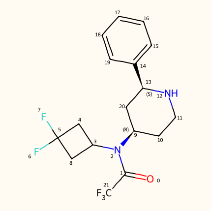 O=C(N(C1CC(F)(F)C1)[C@@H]1CCN[C@H](c2ccccc2)C1)C(F)(F)F